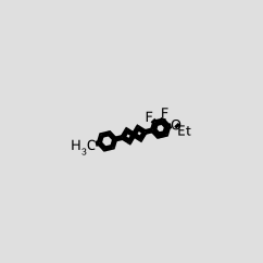 CCOc1ccc(C2CC3(C2)CC(C2CCC(C)CC2)C3)c(F)c1F